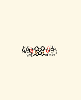 CCCCCCc1cc2c(s1)C1(c3cc(B4OC(C)(C)C(C)(C)O4)ccc3-c3ccc(B4OC(C)(C)C(C)(C)O4)cc31)c1sc(CCCCCC)cc1-2